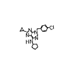 Clc1ccc(Cn2cnc(NC3CCCC3)c3nc(C4CC4)nc2-3)cc1